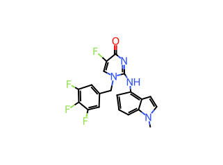 Cn1ccc2c(Nc3nc(=O)c(F)cn3Cc3cc(F)c(F)c(F)c3)cccc21